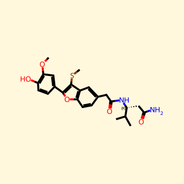 COc1cc(-c2oc3ccc(CC(=O)N[C@H](CC(N)=O)C(C)C)cc3c2SC)ccc1O